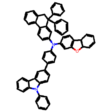 C1=CC2Oc3cc(N(c4ccc(-c5ccc6c(c5)c5ccccc5n6-c5ccccc5)cc4)c4ccc5c(c4)C(c4ccccc4)(c4ccccc4)Cc4ccccc4-5)ccc3C2C=C1